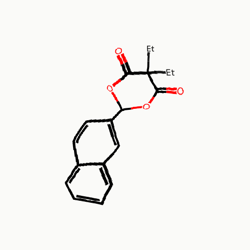 CCC1(CC)C(=O)OC(c2ccc3ccccc3c2)OC1=O